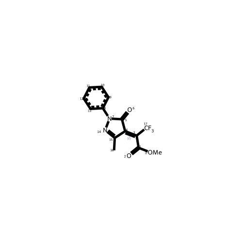 COC(=O)/C(=C1/C(=O)N(c2ccccc2)N=C1C)C(F)(F)F